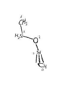 C#[Si]O[SiH2]C